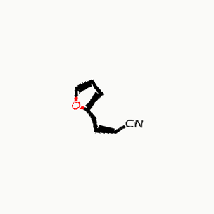 N#C/C=C\c1ccco1